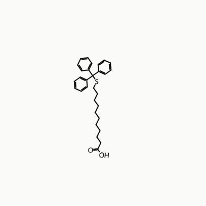 O=C(O)CCCCCCCCCCSC(c1ccccc1)(c1ccccc1)c1ccccc1